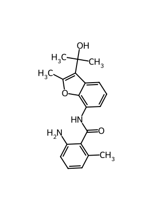 Cc1cccc(N)c1C(=O)Nc1cccc2c(C(C)(C)O)c(C)oc12